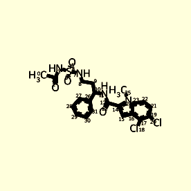 CC(=O)NS(=O)(=O)NCCC(NC(=O)c1cc2c(Cl)c(Cl)ccc2n1C)c1ccccc1